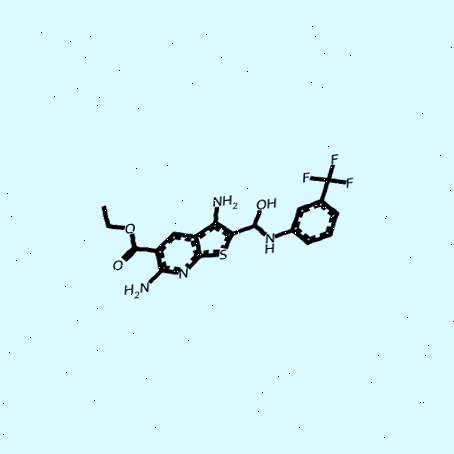 CCOC(=O)c1cc2c(N)c(C(O)Nc3cccc(C(F)(F)F)c3)sc2nc1N